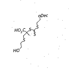 CCCCCCCCCCCCSC(=S)SC(C)(CSCCO)C(=O)O